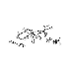 COC(=O)c1ccc(C(C)(C)C)c(NC(=O)[C@H](CCCCN)NC(=O)OC(C)(C)C)c1